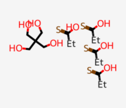 CCC(O)=S.CCC(O)=S.CCC(O)=S.CCC(O)=S.OCC(CO)(CO)CO